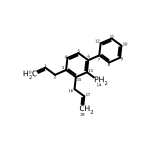 C=CCc1ccc(-c2ccccc2)c(P)c1CC=C